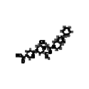 C[C@@H]1CN(c2ccc(C(=O)O)cn2)C[C@H](C)N1CC(=O)N1CCc2nn(-c3ccccc3)cc2C1